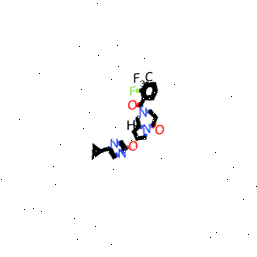 O=C(c1cccc(C(F)(F)F)c1F)N1CCC(=O)N2C[C@@H](Oc3cnc(C4CC4)cn3)C[C@H]2C1